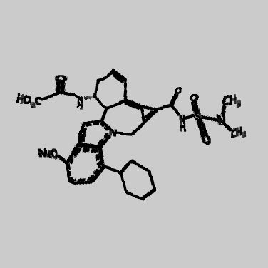 COc1ccc(C2CCCCC2)c2c1cc1n2CC2=C(C(=O)NS(=O)(=O)N(C)C)C2=C2C=CC[C@@H](NC(=O)C(=O)O)C21